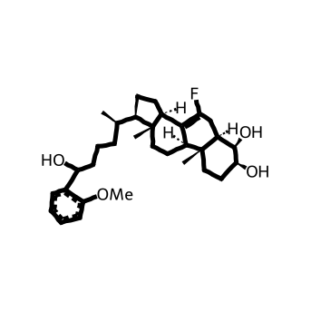 COc1ccccc1C(O)CCC[C@@H](C)[C@H]1CC[C@H]2C3=C(F)C[C@H]4[C@@H](O)[C@@H](O)CC[C@]4(C)[C@H]3CC[C@]12C